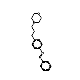 c1ccc(N=Nc2ccc(CCCN3CCOCC3)cc2)cc1